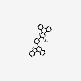 CC(C)(C)c1nc2c3ccccc3c3ccccc3c2nc1-c1cccc(-c2cc3ccccc3c3c2oc2ccccc23)c1